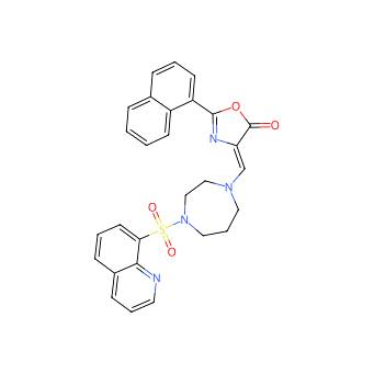 O=C1OC(c2cccc3ccccc23)=N/C1=C\N1CCCN(S(=O)(=O)c2cccc3cccnc23)CC1